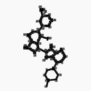 CN1CCN(c2ccnc3[nH]c(-c4n[nH]c5ncc(-c6cncc(N)c6)c(F)c45)nc23)CC1